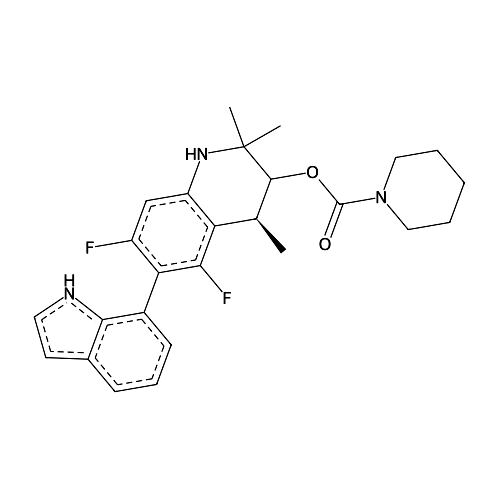 C[C@H]1c2c(cc(F)c(-c3cccc4cc[nH]c34)c2F)NC(C)(C)C1OC(=O)N1CCCCC1